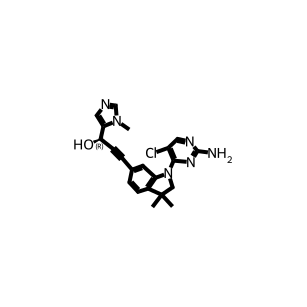 Cn1cncc1[C@H](O)C#Cc1ccc2c(c1)N(c1nc(N)ncc1Cl)CC2(C)C